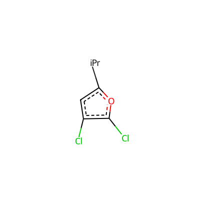 CC(C)c1cc(Cl)c(Cl)o1